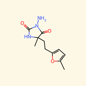 Cc1ccc(CCC2(C)NC(=O)N(N)C2=O)o1